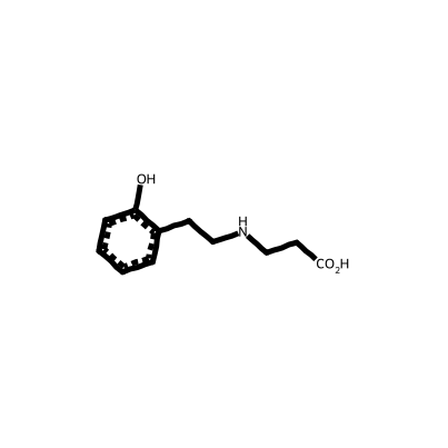 O=C(O)CCNCCc1ccccc1O